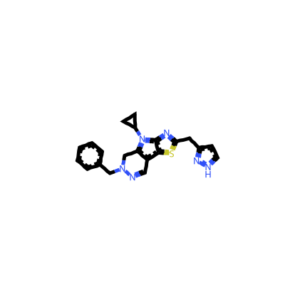 C1=NN(Cc2ccccc2)Cc2c1c1sc(Cc3cc[nH]n3)nc1n2C1CC1